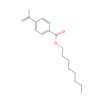 C=C(C)c1ccc(C(=O)OCCCCCCCC)cc1